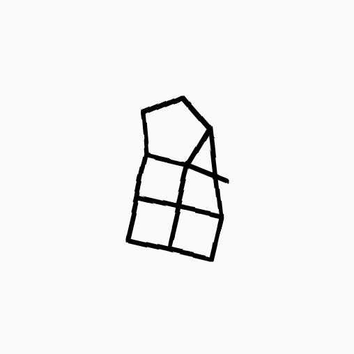 CC12C3CCC1C1CC4CC3C412